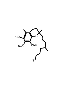 COc1c(O)c(C)c2c(c1OC)OC(C)(CCCC(C)CCCC(C)C)CC2